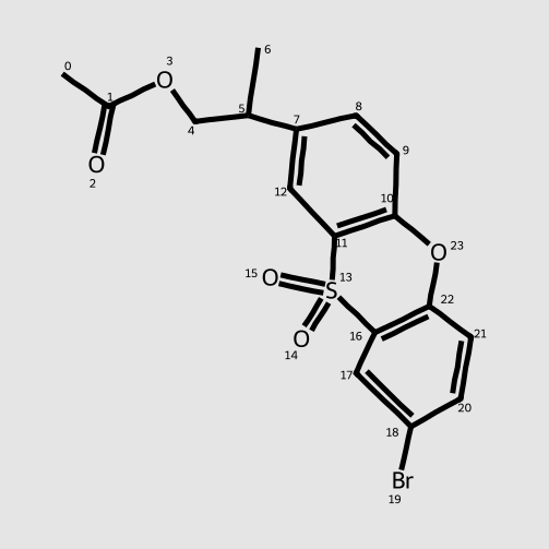 CC(=O)OCC(C)c1ccc2c(c1)S(=O)(=O)c1cc(Br)ccc1O2